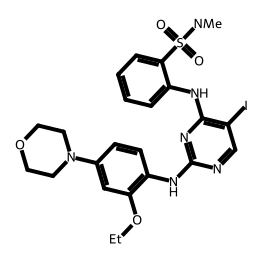 CCOc1cc(N2CCOCC2)ccc1Nc1ncc(I)c(Nc2ccccc2S(=O)(=O)NC)n1